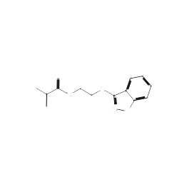 CC(C)C(=O)NCCNc1nsc2ccccc12